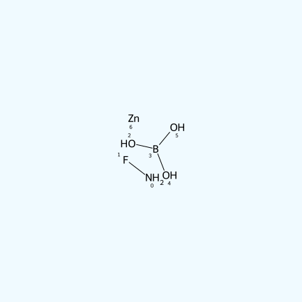 NF.OB(O)O.[Zn]